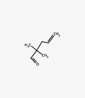 C=CCC(C)(C)[C]=O